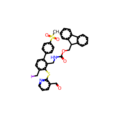 CS(=O)(=O)c1ccc(-c2ccc(CI)c(Sc3ncccc3C=O)c2CNC(=O)OCC2c3ccccc3-c3ccccc32)cc1